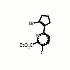 CCOC(=O)c1nc(C2=C(Br)CCC2)ccc1Cl